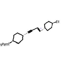 CCCCC[C@H]1CC[C@H](C#C/C=C/[C@H]2CC[C@H](CC)CC2)CC1